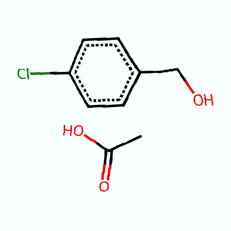 CC(=O)O.OCc1ccc(Cl)cc1